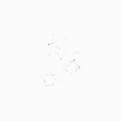 CC(=O)N(N1CCCCC1=O)[C@@](CCc1ccncc1)(CC(=O)O)c1cccnc1